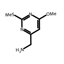 COc1cc(CN)nc(SC)n1